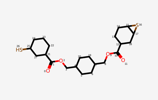 O=C(OCC1CCC(COC(=O)C2CCC3SC3C2)CC1)C1CCCC(S)C1